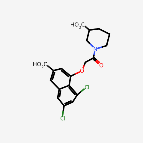 O=C(O)c1cc(OCC(=O)N2CCCC(C(=O)O)C2)c2c(Cl)cc(Cl)cc2c1